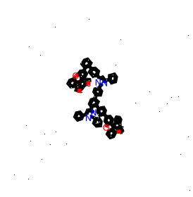 c1ccc(-c2cc(-c3ccc(-c4ccccc4-c4ccc5c(c4)Oc4ccccc4C54c5ccccc5-c5ccccc54)cc3)nc(-c3ccc(-c4ccc(-c5cc(-c6ccccc6)nc(-c6ccccc6)n5)c(-c5ccc(-c6ccc7c(c6)Oc6ccccc6C76c7ccccc7-c7ccccc76)cc5)c4)cc3)n2)cc1